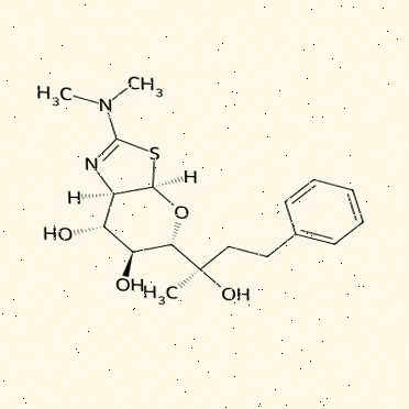 CN(C)C1=N[C@@H]2[C@@H](O)[C@H](O)[C@@H]([C@](C)(O)CCc3ccccc3)O[C@@H]2S1